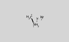 C[SiH3].[W].[Y]